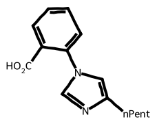 CCCCCc1cn(-c2ccccc2C(=O)O)cn1